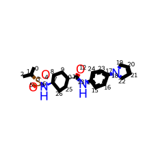 CC(C)S(=O)(=O)N[C@H]1CC[C@H](C(=O)Nc2ccc(N3CC=CC3)cc2)CC1